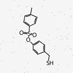 Cc1ccc(S(=O)(=O)Oc2ccc(CS)cc2)cc1